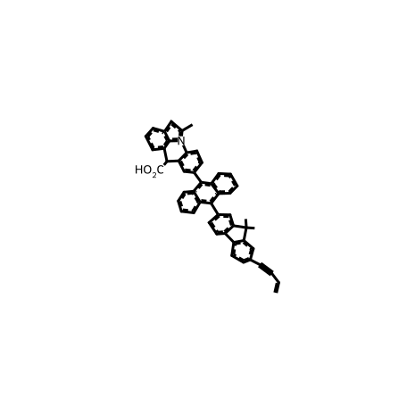 C=CC#Cc1ccc2c(c1)C(C)(C)c1cc(-c3c4ccccc4c(-c4ccc5c(c4)C(C(=O)O)c4cccc6cc(C)n-5c46)c4ccccc34)ccc1-2